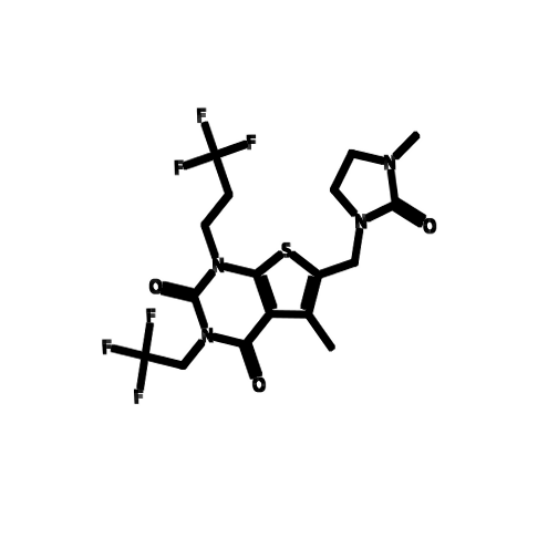 Cc1c(CN2CCN(C)C2=O)sc2c1c(=O)n(CC(F)(F)F)c(=O)n2CCC(F)(F)F